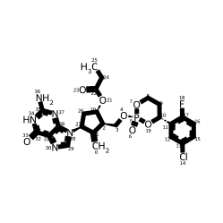 C=C1[C@H](CO[P@]2(=O)OCC[C@H](c3cc(Cl)ccc3F)O2)[C@@H](OC(=O)CC)C[C@@H]1n1cnc2c(=O)[nH]c(N)nc21